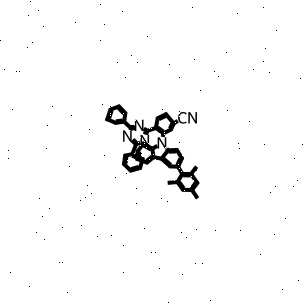 Cc1cc(C)c(-c2ccc3c(c2)c2ccccc2n3-c2cc(C#N)ccc2-c2nc(-c3ccccc3)nc(-c3ccccc3)n2)c(C)c1